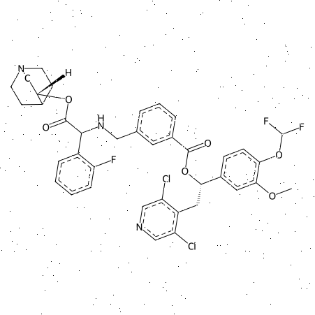 COc1cc([C@H](Cc2c(Cl)cncc2Cl)OC(=O)c2cccc(CNC(C(=O)O[C@H]3CN4CCC3CC4)c3ccccc3F)c2)ccc1OC(F)F